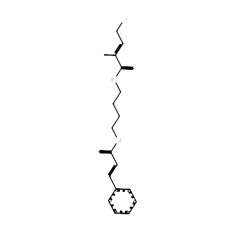 C/C(=C\CO)C(=O)NCCCCNC(=O)C=Cc1ccccc1